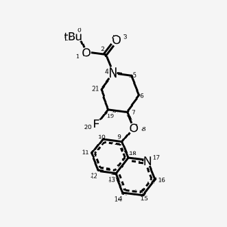 CC(C)(C)OC(=O)N1CCC(Oc2cccc3cccnc23)C(F)C1